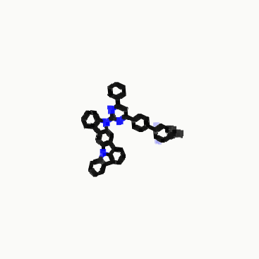 C#C/C=C\C(=C/C)c1ccc(-c2cc(-c3ccccc3)nc(-n3c4ccccc4c4cc5c(cc43)c3cccc4c6ccccc6n5c43)n2)cc1